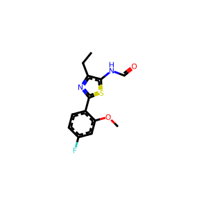 CCc1nc(-c2ccc(F)cc2OC)sc1NC=O